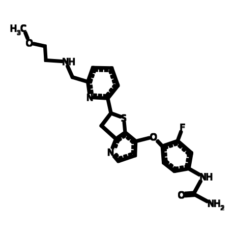 COCCNCc1cccc(C2Cc3nccc(Oc4ccc(NC(N)=O)cc4F)c3S2)n1